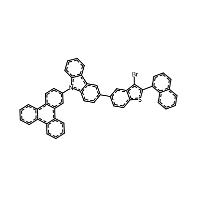 Brc1c(-c2cccc3ccccc23)sc2ccc(-c3ccc4c(c3)c3ccccc3n4-c3ccc4c5ccccc5c5ccccc5c4c3)cc12